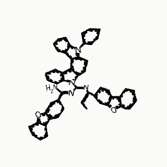 C/C=C(/N=C(\N=C(/N)c1ccc2c(c1)oc1ccccc12)n1c2ccccc2c2c3c4ccccc4n(-c4ccccc4)c3ccc21)c1ccc2c(c1)oc1ccccc12